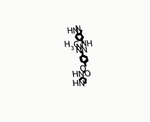 Cn1nc(-c2ccc(COC(=O)NC3CCNC3)cc2)nc1Nc1ccc2[nH]ncc2c1